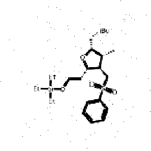 CC[C@@H](C)C[C@H]1O[C@@H](CCO[Si](CC)(CC)CC)[C@H](CS(=O)(=O)c2ccccc2)[C@H]1C